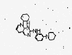 C1=CN(C2CCCCC2)C2NC(Nc3cccc(N4CCCCC4)c3)=NC=C2C1